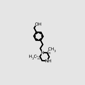 C[C@@H]1CNC[C@H](C)N1CCc1ccc(CO)cc1